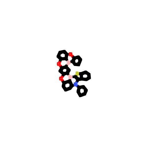 c1ccc(N2c3cccc4c3B(c3cc5c(cc3O4)Oc3cccc4c3B5c3ccccc3O4)c3sc4ccccc4c32)cc1